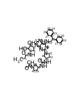 CCC(=O)N[C@H]1C[C@@H](n2cnc3c(NCC(c4ccccc4)c4ccccc4)nc(N4CC[C@@H](NC(=O)N[C@@H]5CCN(C(C)=O)C5)C4)nc32)[C@H](O)[C@@H]1O